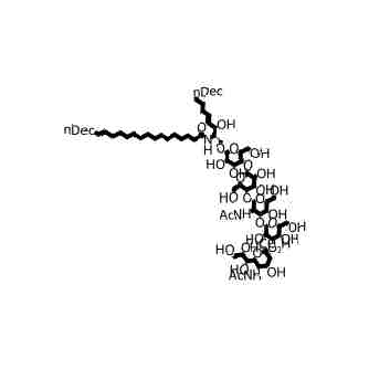 CCCCCCCCCCCCC/C=C/[C@@H](O)[C@H](CO[C@@H]1OC(CO)[C@@H](O[C@@H]2OC(CO)[C@H](O[C@@H]3OC(CO)[C@H](O)[C@H](O[C@@H]4OC(CO)[C@H](O)[C@H](O[C@]5(C(=O)O)CC(O)[C@@H](NC(C)=O)C([C@H](O)[C@H](O)CO)O5)C4O)C3NC(C)=O)[C@H](O)C2O)[C@H](O)C1O)NC(=O)CCCCCCCCCCCCCCCCCCCCCCCCC